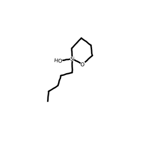 CCCCC[Si]1(O)CCCCO1